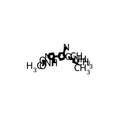 COC(=O)Nc1nccc(-c2ccc(OC[C@@](C)(N)CC(C)C)c(C#N)c2)c1F